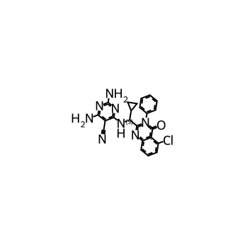 N#Cc1c(N)nc(N)nc1N[C@H](c1nc2cccc(Cl)c2c(=O)n1-c1ccccc1)C1CC1